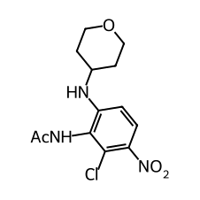 CC(=O)Nc1c(NC2CCOCC2)ccc([N+](=O)[O-])c1Cl